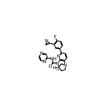 O=C(Nc1cnccn1)N1c2nc(-c3ccc(F)c(C4C=N4)c3)ccc2N2CC[C@H]1C2